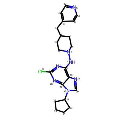 Clc1nc(NN2CCC(Cc3ccncc3)CC2)c2ncn(C3CCCC3)c2n1